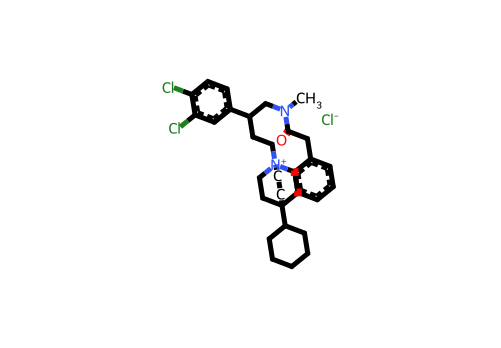 CN(CC(CC[N+]12CCC(C3CCCCC3)(CC1)CC2)c1ccc(Cl)c(Cl)c1)C(=O)Cc1ccccc1.[Cl-]